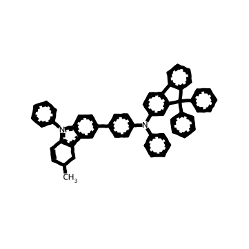 CC1C=Cc2c(c3cc(-c4ccc(N(c5ccccc5)c5ccc6c(c5)C(c5ccccc5)(c5ccccc5)c5ccccc5-6)cc4)ccc3n2-c2ccccc2)C1